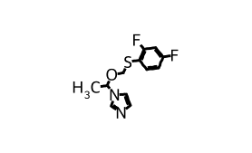 CC(OCSc1ccc(F)cc1F)n1ccnc1